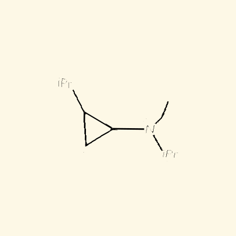 CC(C)C1CC1N(C)C(C)C